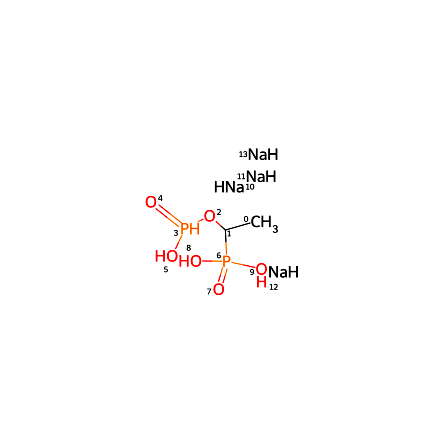 CC(O[PH](=O)O)P(=O)(O)O.[NaH].[NaH].[NaH].[NaH]